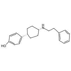 Oc1ccc([C@H]2CC[C@@H](NCCc3ccccc3)CC2)cc1